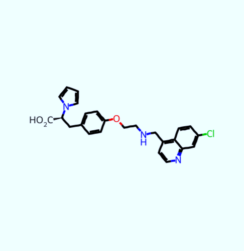 O=C(O)[C@H](Cc1ccc(OCCNCc2ccnc3cc(Cl)ccc23)cc1)n1cccc1